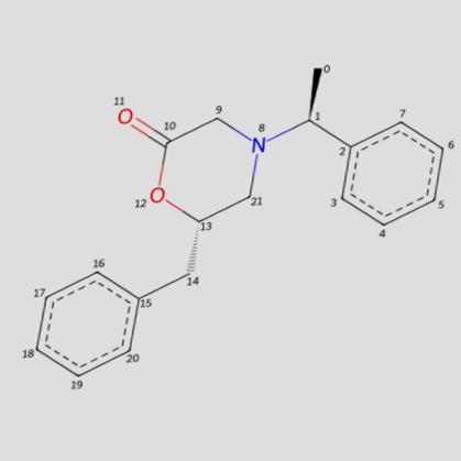 C[C@@H](c1ccccc1)N1CC(=O)O[C@@H](Cc2ccccc2)C1